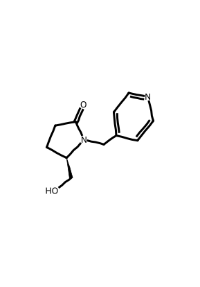 O=C1CC[C@H](CO)N1Cc1ccncc1